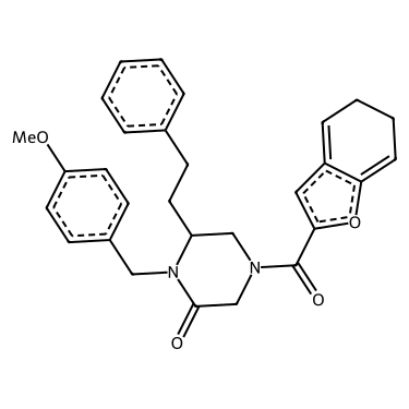 COc1ccc(CN2C(=O)CN(C(=O)c3cc4c(o3)=CCCC=4)CC2CCc2ccccc2)cc1